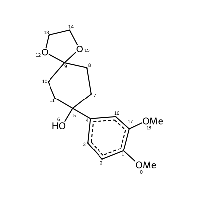 COc1ccc(C2(O)CCC3(CC2)OCCO3)cc1OC